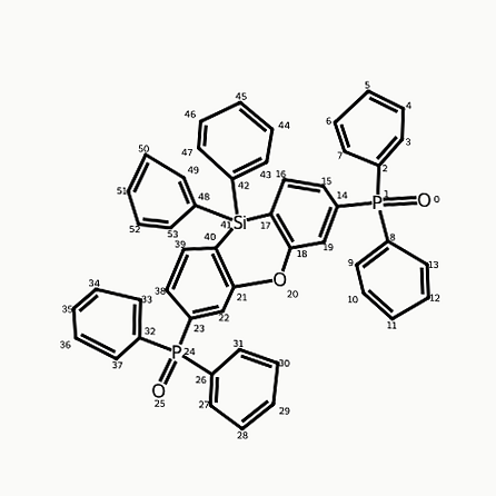 O=P(c1ccccc1)(c1ccccc1)c1ccc2c(c1)Oc1cc(P(=O)(c3ccccc3)c3ccccc3)ccc1[Si]2(c1ccccc1)c1ccccc1